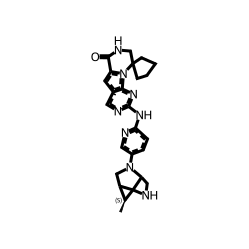 C[C@H]1C2CN(c3ccc(Nc4ncc5cc6n(c5n4)C4(CCCC4)CNC6=O)nc3)C3CNC231